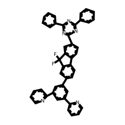 FC1(F)c2cc(-c3cc(-c4ccccn4)cc(-c4ccccn4)c3)ccc2-c2ccc(-c3nc(-c4ccccc4)nc(-c4ccccc4)n3)cc21